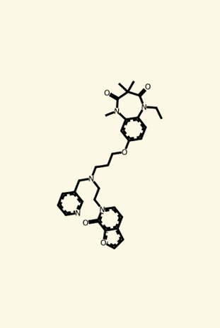 CCN1C(=O)C(C)(C)C(=O)N(C)c2cc(OCCCN(CCn3ccc4ccoc4c3=O)Cc3cccnc3)ccc21